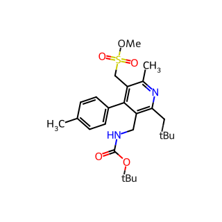 COS(=O)(=O)Cc1c(C)nc(CC(C)(C)C)c(CNC(=O)OC(C)(C)C)c1-c1ccc(C)cc1